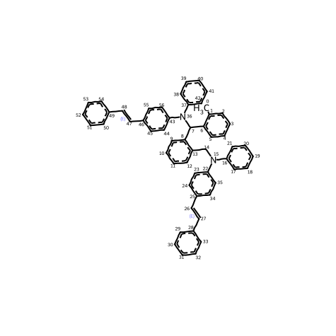 Cc1ccccc1C(c1ccccc1CN(c1ccccc1)c1ccc(/C=C/c2ccccc2)cc1)N(c1ccccc1)c1ccc(/C=C/c2ccccc2)cc1